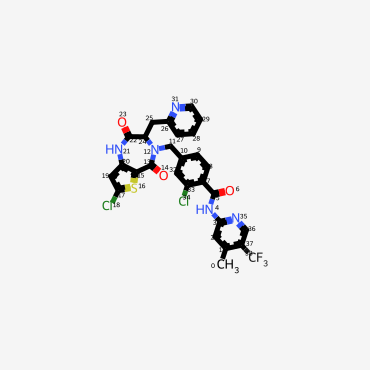 Cc1cc(NC(=O)c2ccc(CN3C(=O)c4sc(Cl)cc4NC(=O)C3Cc3ccccn3)cc2Cl)ncc1C(F)(F)F